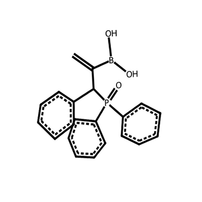 C=C(B(O)O)C(c1ccccc1)P(=O)(c1ccccc1)c1ccccc1